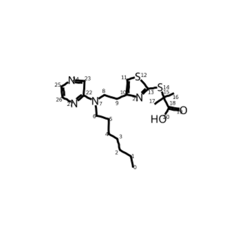 CCCCCCCN(CCc1csc(SC(C)(C)C(=O)O)n1)c1cnccn1